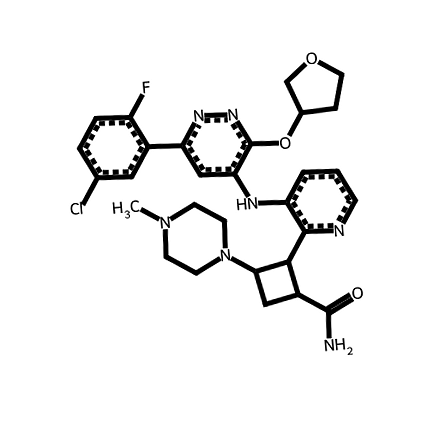 CN1CCN(C2CC(C(N)=O)C2c2ncccc2Nc2cc(-c3cc(Cl)ccc3F)nnc2OC2CCOC2)CC1